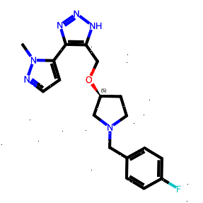 Cn1nccc1-c1nn[nH]c1CO[C@H]1CCN(Cc2ccc(F)cc2)C1